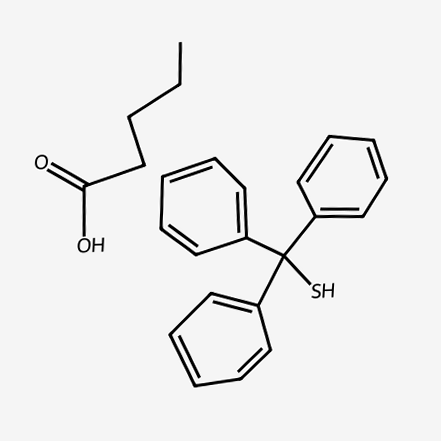 CCCCC(=O)O.SC(c1ccccc1)(c1ccccc1)c1ccccc1